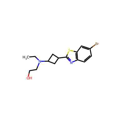 CCN(CCO)C1CC(c2nc3ccc(Br)cc3s2)C1